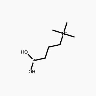 C[N+](C)(C)CCCP(O)O